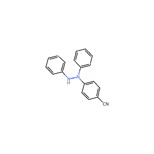 N#Cc1ccc(N(Nc2ccccc2)c2ccccc2)cc1